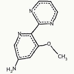 COc1cc(N)cnc1-c1ncccn1